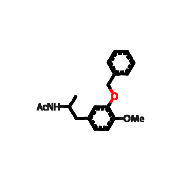 COc1ccc(CC(C)NC(C)=O)cc1OCc1ccccc1